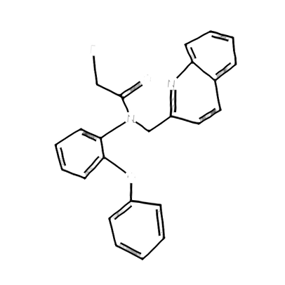 O=C(CF)N(Cc1ccc2ccccc2n1)c1ccccc1Oc1ccccc1